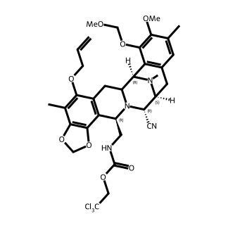 C=CCOc1c(C)c2c(c3c1CC1[C@H]4c5c(cc(C)c(OC)c5OCOC)C[C@@H]([C@H](C#N)N1[C@H]3CNC(=O)OCC(Cl)(Cl)Cl)N4C)OCO2